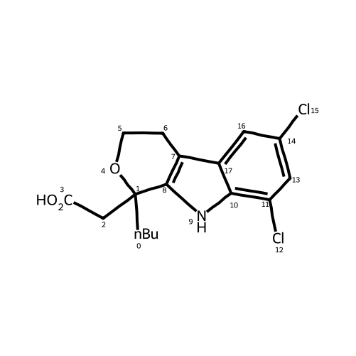 CCCCC1(CC(=O)O)OCCc2c1[nH]c1c(Cl)cc(Cl)cc21